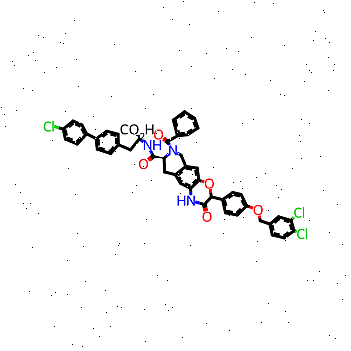 O=C1Nc2cc3c(cc2OC1c1ccc(OCc2ccc(Cl)c(Cl)c2)cc1)CN(C(=O)c1ccccc1)[C@H](C(=O)N[C@@H](Cc1ccc(-c2ccc(Cl)cc2)cc1)C(=O)O)C3